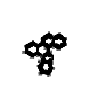 C1=CC2c3ccc4ccccc4c3-c3nc4ccccc4n3C2C=C1